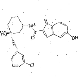 O=C(N[C@H]1CCC[C@@](O)(C#Cc2cccc(Cl)c2)C1)c1cc2cc(O)ccc2[nH]1